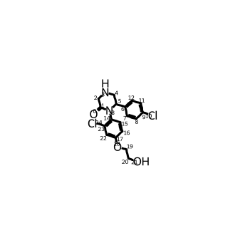 O=C1CNCC(c2ccc(Cl)cc2)N1c1ccc(OCCO)cc1Cl